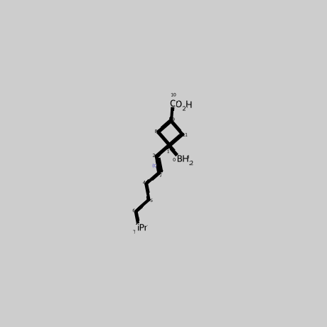 BC1(/C=C/CCCC(C)C)CC(C(=O)O)C1